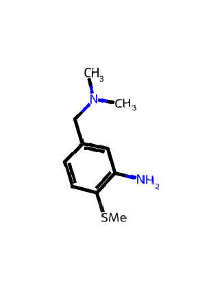 CSc1ccc(CN(C)C)cc1N